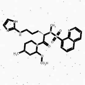 CC1CCN(C(=O)[C@H](CCCNc2ncc[nH]2)N(C)S(=O)(=O)c2cccc3cccnc23)C(OC(=O)O)C1